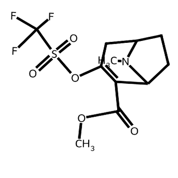 COC(=O)C1=C(OS(=O)(=O)C(F)(F)F)CC2CCC1N2C